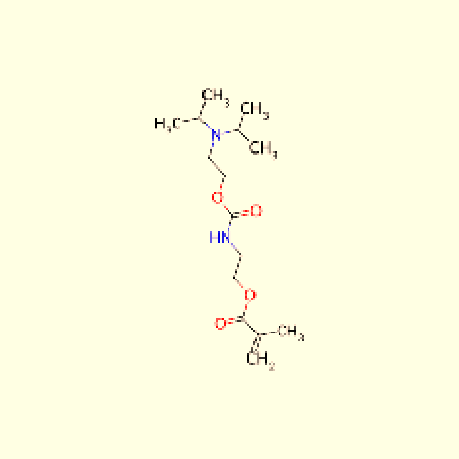 C=C(C)C(=O)OCCNC(=O)OCCN(C(C)C)C(C)C